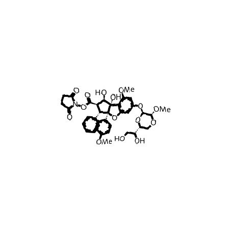 COc1ccc([C@@]23Oc4cc(O[C@@H]5O[C@@H](C(O)CO)CO[C@H]5OC)cc(OC)c4[C@]2(O)[C@H](O)[C@H](C(=O)ON2C(=O)CCC2=O)[C@H]3c2ccccc2)cc1